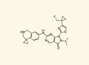 CC(C)n1c(=O)c2cnc(Nc3ccc4c(c3)CNCC43CC3)nc2n1-c1nc(C2(CF)CC2)co1